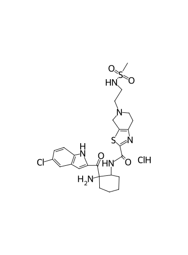 CS(=O)(=O)NCCN1CCc2nc(C(=O)NC3CCCCC3(N)C(=O)c3cc4cc(Cl)ccc4[nH]3)sc2C1.Cl